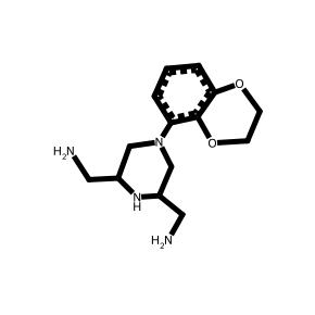 NCC1CN(c2cccc3c2OCCO3)CC(CN)N1